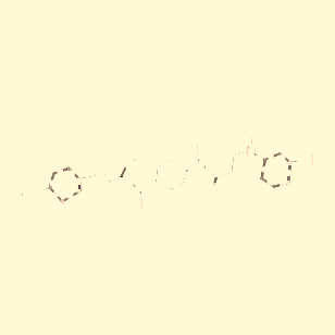 CN1CC(C(=O)NC2CCC(NC(=O)COc3ccc(Cl)cc3)CC2)Oc2ccc(Cl)cc21